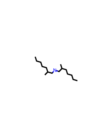 CCCCCC(C)C[N]CC(C)CCCCC